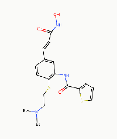 CCN(CC)CCSc1ccc(/C=C/C(=O)NO)cc1NC(=O)c1cccs1